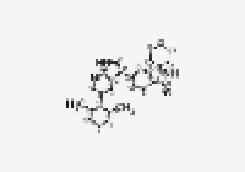 Cc1ccnc(C)c1-c1cnc2[nH]cc(-c3ccc4c(c3)C3(CCCCC3)NC4=O)c2c1